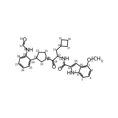 COc1cccc2[nH]c(C(=O)NC(CC3CCC3)C(=O)N3CCC(c4ccccc4NC=O)C3)cc12